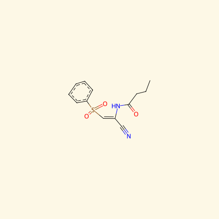 CCCC(=O)NC(C#N)=CS(=O)(=O)c1ccccc1